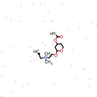 C#CC[N+](C)(C)CCOC1CC(OC(=O)CCC)CCO1